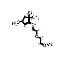 CCC1(C)CC(C)C=C1OCCOCCOC